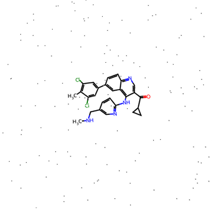 CNCc1ccc(Nc2c(C(=O)C3CC3)cnc3ccc(-c4cc(Cl)c(C)c(Cl)c4)cc23)nc1